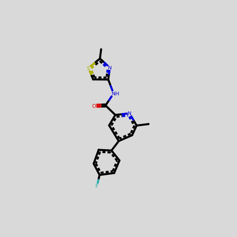 Cc1cc(-c2ccc(F)cc2)cc(C(=O)Nc2csc(C)n2)n1